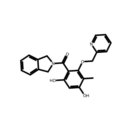 Cc1c(O)cc(O)c(C(=O)N2Cc3ccccc3C2)c1OCc1ccccn1